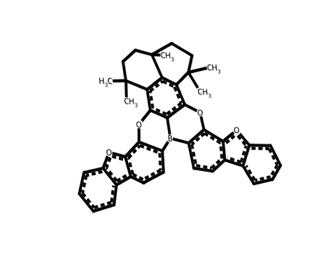 CC1(C)CCC2(C)CCC(C)(C)c3c4c5c(c1c32)Oc1c(ccc2c1oc1ccccc12)B5c1ccc2c(oc3ccccc32)c1O4